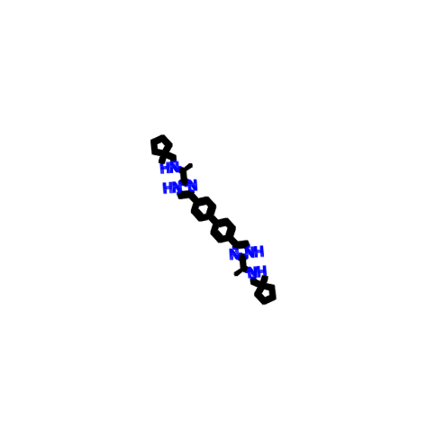 C[C@H](NCC1(C)CCCC1)c1nc(-c2ccc(-c3ccc(-c4c[nH]c([C@H](C)NCC5(C)CCCC5)n4)cc3)cc2)c[nH]1